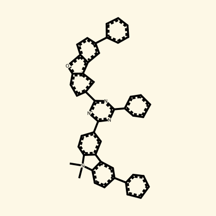 C[Si]1(C)c2ccc(-c3ccccc3)cc2-c2cc(-c3nc(-c4ccccc4)nc(-c4ccc5oc6ccc(-c7ccccc7)cc6c5c4)n3)ccc21